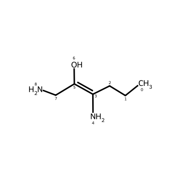 CCCC(N)=C(O)CN